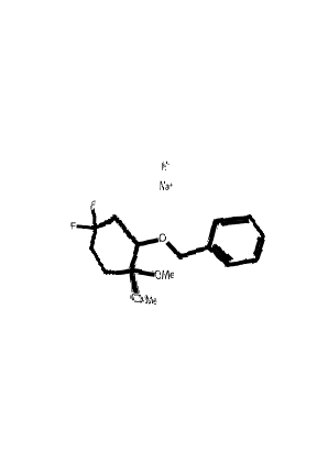 COC1(OC)CCC(F)(F)CC1OCc1ccccc1.[H-].[Na+]